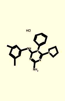 Cc1cc(C)cc(NC2N=C(N)N=C(N3CCCC3)N2c2ccccc2)c1.Cl